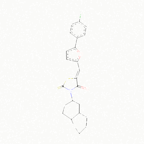 O=C1C(=Cc2ccc(-c3ccc(Cl)cc3)o2)SC(=S)N1C1CCC2CCCCC2C1